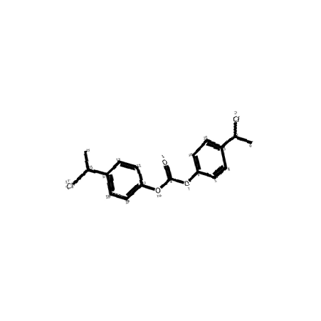 CC(Cl)c1ccc(OC(=O)Oc2ccc(C(C)Cl)cc2)cc1